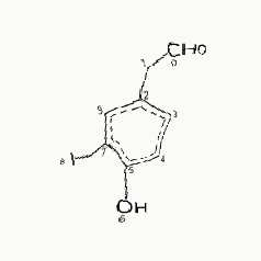 O=CCc1ccc(O)c(I)c1